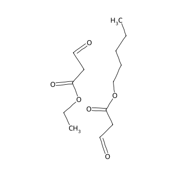 CCCCCOC(=O)CC=O.CCOC(=O)CC=O